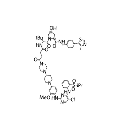 COc1cc(N2CCC(N3CCN(C(=O)CCC(=O)NC(C(=O)N4C[C@H](O)C[C@H]4C(=O)NCc4ccc(-c5scnc5C)cc4)C(C)(C)C)CC3)CC2)ccc1Nc1ncc(Cl)c(Nc2ccccc2S(=O)(=O)C(C)C)n1